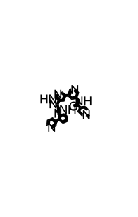 CN1CCC(C(=O)Nc2cncc(-c3cnc4[nH]nc(-c5nc6c(-c7cccnc7)cccc6[nH]5)c4c3)c2)CC1